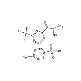 CC(N)C(=O)c1cccc(C(F)(F)F)c1.Cc1ccc(S(=O)(=O)O)cc1